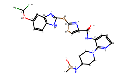 C[S+]([O-])NC1CCN(c2ncccc2NC(=O)c2csc(Sc3nc4cc(OC(F)F)ccc4[nH]3)n2)CC1